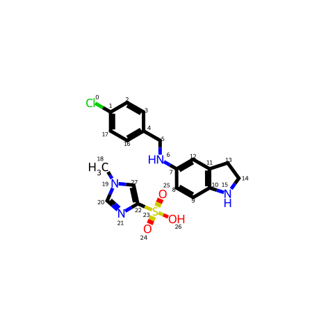 Clc1ccc(CNc2ccc3c(c2)CCN3)cc1.Cn1cnc(S(=O)(=O)O)c1